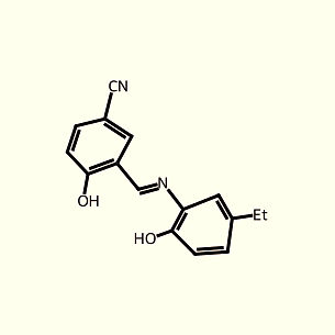 CCc1ccc(O)c(/N=C/c2cc(C#N)ccc2O)c1